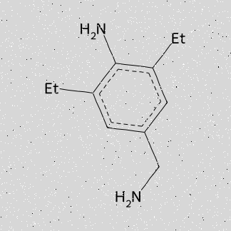 CCc1cc(CN)cc(CC)c1N